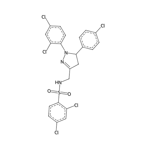 O=S(=O)(NCC1=NN(c2ccc(Cl)cc2Cl)C(c2ccc(Cl)cc2)C1)c1ccc(Cl)cc1Cl